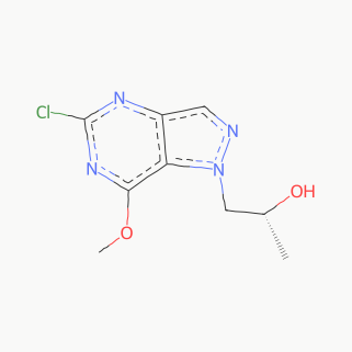 COc1nc(Cl)nc2cnn(C[C@@H](C)O)c12